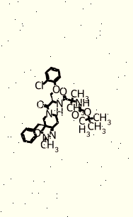 CN1N=C2CCN(C(=O)[C@@H](COc3ccccc3Cl)NC(=O)C(C)(C)NC(=O)OC(C)(C)C)C[C@@]2(Cc2ccccc2)C1=O